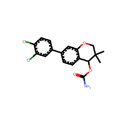 CC1(C)COc2cc(-c3ccc(Cl)c(Cl)c3)ccc2C1OC(N)=O